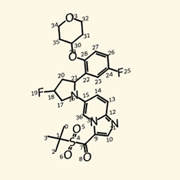 CC(C)(C)S(=O)(=O)C(=O)c1cnc2ccc(N3CC(F)CC3c3cc(F)ccc3OC3CCOCC3)cn12